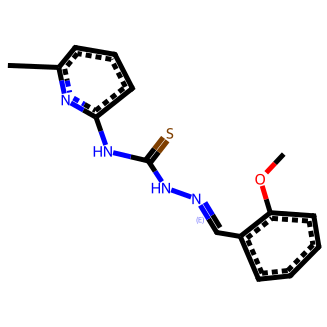 COc1ccccc1/C=N/NC(=S)Nc1cccc(C)n1